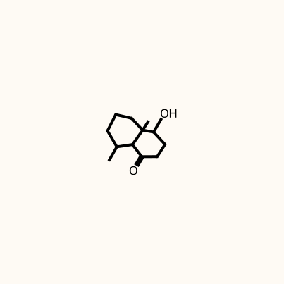 CC1CCCC2(C)C(O)CCC(=O)C12